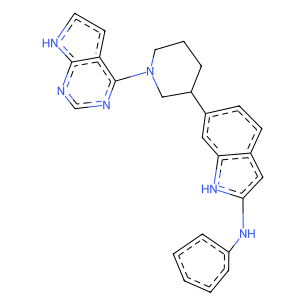 c1ccc(Nc2cc3ccc(C4CCCN(c5ncnc6[nH]ccc56)C4)cc3[nH]2)cc1